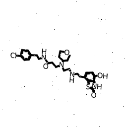 O=C(CCN(CCNCCc1ccc(O)c2[nH]c(=O)sc12)C1CCOCC1)NCCc1ccc(Cl)cc1